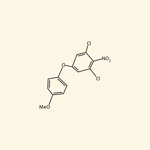 COc1ccc(Oc2cc(Cl)c([N+](=O)[O-])c(Cl)c2)cc1